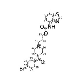 O=C(Nc1cccc2scnc12)OCCCN1CCC(C(=O)c2ccc(Br)cc2)CC1